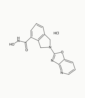 Cl.O=C(NO)c1cccc2c1CN(c1nc3ncccc3o1)C2